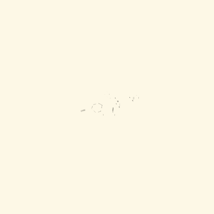 CC#Cc1ccc(C2C(=O)N3CCN(OC)CCN3C2=O)c(OC)c1